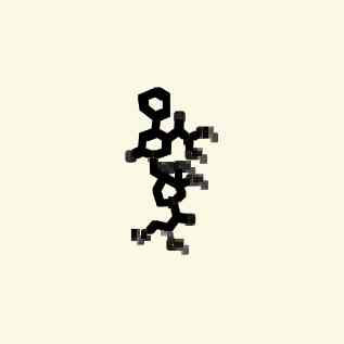 C[C@H](CC(F)(F)F)C(=O)N1CC[C@@](O)(Cn2cc(C(=O)N(C)C)c(-c3ccccc3)cc2=O)C(C)(C)C1